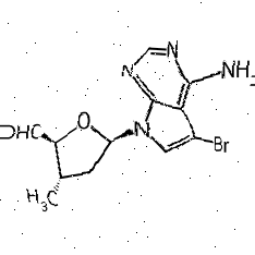 C[C@H]1C[C@H](n2cc(Br)c3c(N)ncnc32)O[C@@H]1C=O